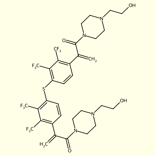 C=C(C(=O)N1CCN(CCO)CC1)c1ccc(Sc2ccc(C(=C)C(=O)N3CCN(CCO)CC3)c(C(F)(F)F)c2C(F)(F)F)c(C(F)(F)F)c1C(F)(F)F